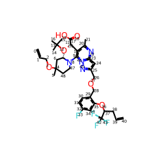 C=CCOC1(C)CCN(c2c([C@H](OC(C)(C)C)C(=O)O)c(C)nc3cc(COCc4ccc(F)cc4OC(CC=C)C(F)(F)F)nn23)CC1